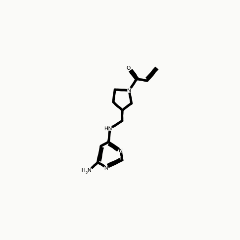 C=CC(=O)N1CCC(CNc2cc(N)ncn2)C1